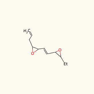 C=CCC1OC1C=CC1OC1CC